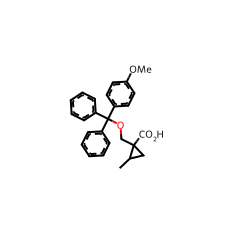 COc1ccc(C(OCC2(C(=O)O)CC2C)(c2ccccc2)c2ccccc2)cc1